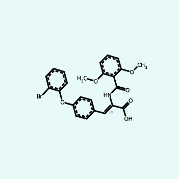 COc1cccc(OC)c1C(=O)N/C(=C\c1ccc(Oc2ccccc2Br)cc1)C(=O)O